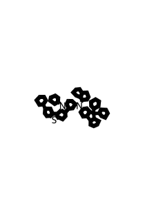 c1ccc(-c2ccc3sc4ccc5c6cc(N(c7ccc8c(c7)C(c7ccccc7)(c7ccccc7)c7ccccc7-8)c7cccc8ccccc78)ccc6n(-c6ccccc6)c5c4c3c2)cc1